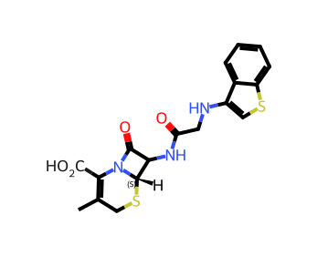 CC1=C(C(=O)O)N2C(=O)C(NC(=O)CNc3csc4ccccc34)[C@@H]2SC1